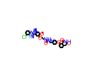 C=Nc1cc(OC)c(OCCNC(=O)NCc2ccc(Oc3cccc4c3C(=O)NC(=O)C4)cc2)cc1/C(=N\C)Nc1cccc(Cl)c1F